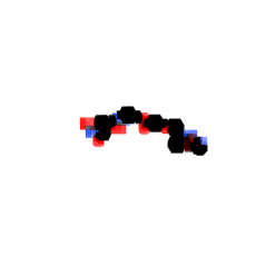 O=C(NC(c1ccccc1)c1cccc(OCc2ccc(C(=O)OCCc3ccc(CNCC(O)c4ccc(O)c5[nH]c(=O)ccc45)cc3)cc2)c1)O[C@H]1CN2CCC1CC2